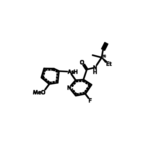 C#C[C@](C)(CC)NC(=O)c1cc(F)cnc1[AsH]c1cccc(OC)c1